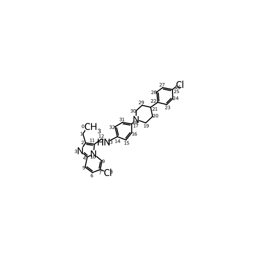 CCc1nc2ccc(Cl)cn2c1CNc1ccc(N2CCC(c3ccc(Cl)cc3)CC2)cc1